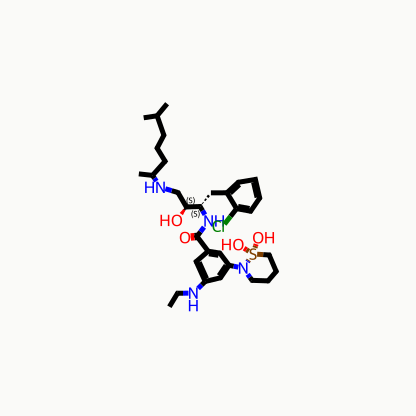 CCNc1cc(C(=O)N[C@@H](Cc2ccccc2Cl)[C@@H](O)CNC(C)CCCC(C)C)cc(N2CCCCS2(O)O)c1